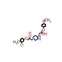 COc1ccc(OC[C@H](O)CNC2CCN(C[C@H](O)COc3ccc(C)c(Cl)c3)CC2)cc1